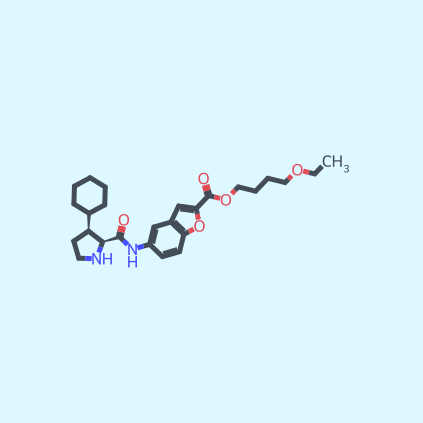 CCOCCCCOC(=O)c1cc2cc(NC(=O)[C@H]3NCC[C@H]3C3CCCCC3)ccc2o1